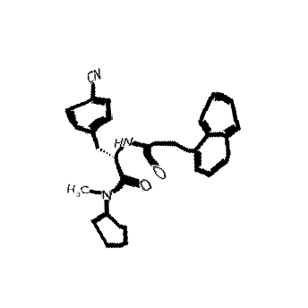 CN(C(=O)[C@H](Cc1ccc(C#N)cc1)NC(=O)Cc1cccc2ccccc12)C1CCCC1